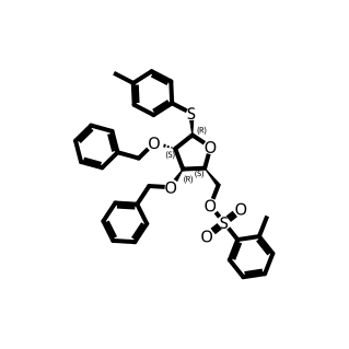 Cc1ccc(S[C@H]2O[C@@H](COS(=O)(=O)c3ccccc3C)[C@@H](OCc3ccccc3)[C@@H]2OCc2ccccc2)cc1